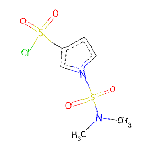 CN(C)S(=O)(=O)n1ccc(S(=O)(=O)Cl)c1